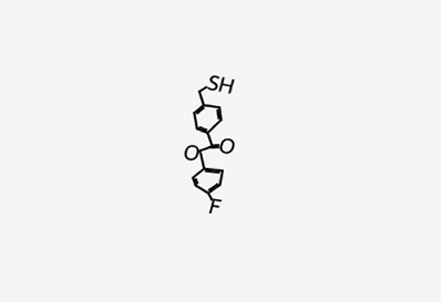 O=C(C(=O)c1ccc(CS)cc1)c1ccc(F)cc1